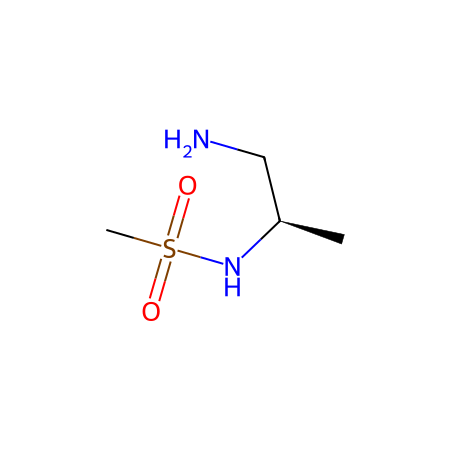 C[C@H](CN)NS(C)(=O)=O